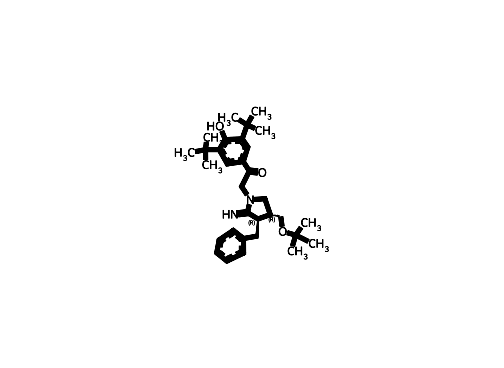 CC(C)(C)OC[C@H]1CN(CC(=O)c2cc(C(C)(C)C)c(O)c(C(C)(C)C)c2)C(=N)[C@@H]1Cc1ccccc1